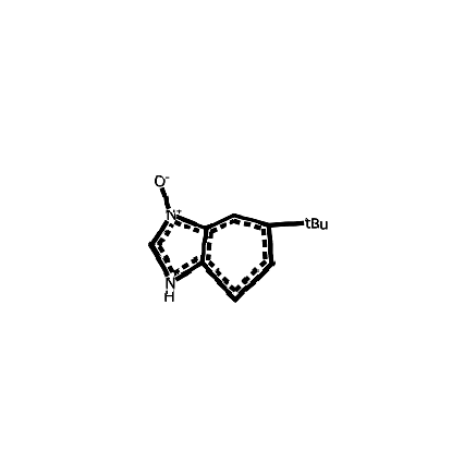 CC(C)(C)c1ccc2[nH]c[n+]([O-])c2c1